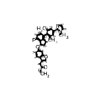 COC(=O)CC1COc2cc(O[C@@H]3CCc4c(-c5c(C)cc(-c6nccn6C)cc5C)ccc(F)c43)ccc21